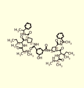 CC[C@H](C)C(NC(=O)[C@H](C)NC)C(=O)N1C[C@@H](NC(=O)c2cc(O)cc(C(=O)N[C@H]3C[C@@H](C(=O)N[C@H](C)c4ccccc4)N(C(=O)C(NC(=O)[C@H](C)NC)[C@@H](C)CC)C3)c2)C[C@H]1C(=O)NC(C)c1ccccc1